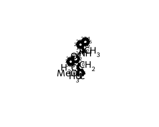 C=C(/C(C)=C(\C=C/C)C(=O)OC)[C@@H]1C[C@H](CN[C@H](C)c2cccc3ccccc23)Oc2ccccc21